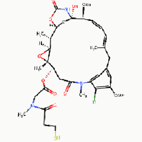 COc1cc2cc(c1Cl)N(C)C(=O)C[C@H](OC(=O)CN(C)C(=O)CCS)[C@]1(C)O[C@H]1[C@H](C)[C@@H]1C[C@@](O)(NC(=O)O1)[C@@H](OC)/C=C\C=C(/C)C2